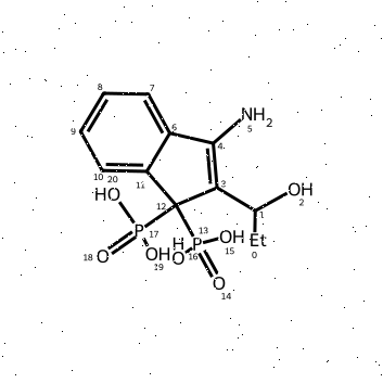 CCC(O)C1=C(N)c2ccccc2C1(P(=O)(O)O)P(=O)(O)O